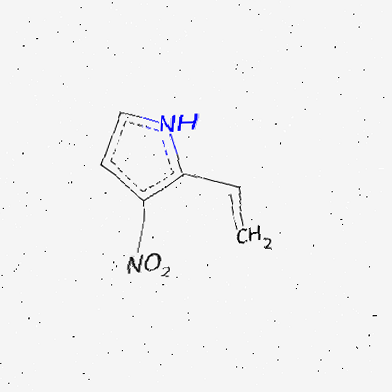 C=Cc1[nH]ccc1[N+](=O)[O-]